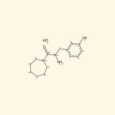 Cl.N#Cc1cccc(CN(N)C(=O)N2CCCCCC2)c1